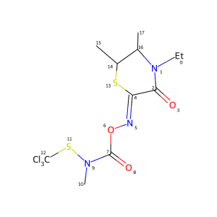 CCN1C(=O)C(=NOC(=O)N(C)SC(Cl)(Cl)Cl)SC(C)C1C